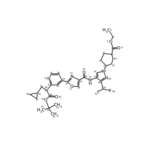 CCOC(=O)C1CCC(n2cc(NC(=O)c3coc(-c4ccnc(N(CC5CC5)C(=O)OC(C)(C)C)c4)n3)c(C(F)F)n2)CC1